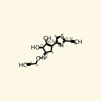 C#CCON=C1CC(c2csc(C#C)n2)=C(C)C1O